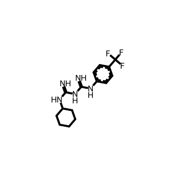 N=C(NC(=N)NC1CCCCC1)Nc1ccc(C(F)(F)F)cc1